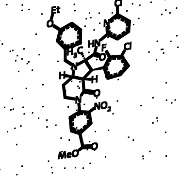 CCOc1cccc(CN2[C@H]3CCN(c4ccc(C(=O)OC)cc4[N+](=O)[O-])C(=O)[C@H]3[C@H](c3cccc(Cl)c3F)[C@]2(C)C(=O)Nc2cccc(Cl)n2)c1